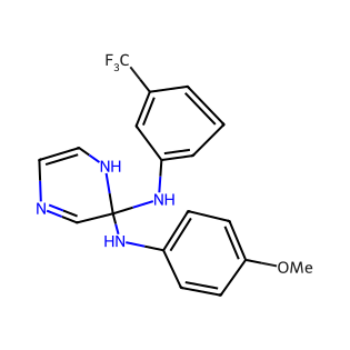 COc1ccc(NC2(Nc3cccc(C(F)(F)F)c3)C=NC=CN2)cc1